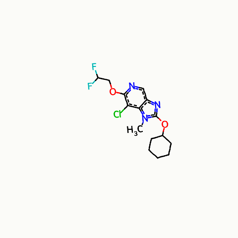 Cn1c(OC2CCCCC2)nc2cnc(OCC(F)F)c(Cl)c21